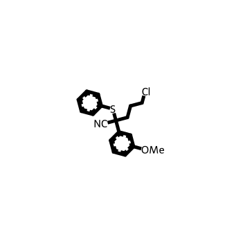 COc1cccc(C(C#N)(CCCCl)Sc2ccccc2)c1